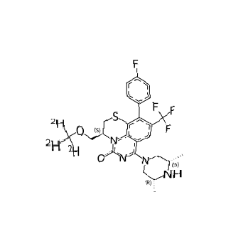 [2H]C([2H])([2H])OC[C@H]1CSc2c(-c3ccc(F)cc3)c(C(F)(F)F)cc3c(N4C[C@@H](C)N[C@@H](C)C4)nc(=O)n1c23